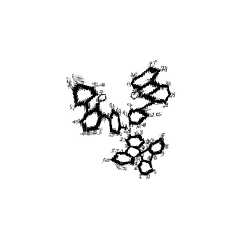 c1ccc2c(c1)-c1ccccc1C21c2ccccc2-c2cc(N(c3ccc(-c4cccc5c4oc4ccccc45)cc3)c3ccc(-c4cccc5c4oc4ccccc45)cc3)ccc21